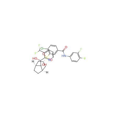 O=C(Nc1ccc(F)c(F)c1)c1ccc(Cl)c(S(=O)(=O)[C@@H]2C[C@H]3CC[C@@H](C2)[C@@]3(O)C(O)c2ncccc2C(F)F)c1